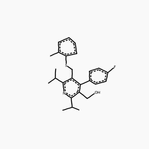 Cc1ccccc1SCc1c(C(C)C)nc(C(C)C)c(CO)c1-c1ccc(F)cc1